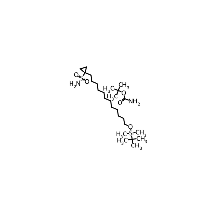 CC(C)(C)OC(N)=O.CC(C)(C)[Si](C)(C)OCCCCCCCCCCCCC1(S(N)(=O)=O)CC1